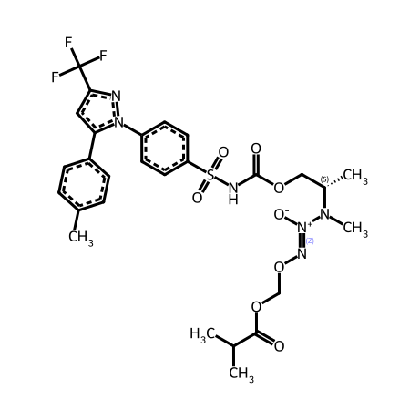 Cc1ccc(-c2cc(C(F)(F)F)nn2-c2ccc(S(=O)(=O)NC(=O)OC[C@H](C)N(C)/[N+]([O-])=N/OCOC(=O)C(C)C)cc2)cc1